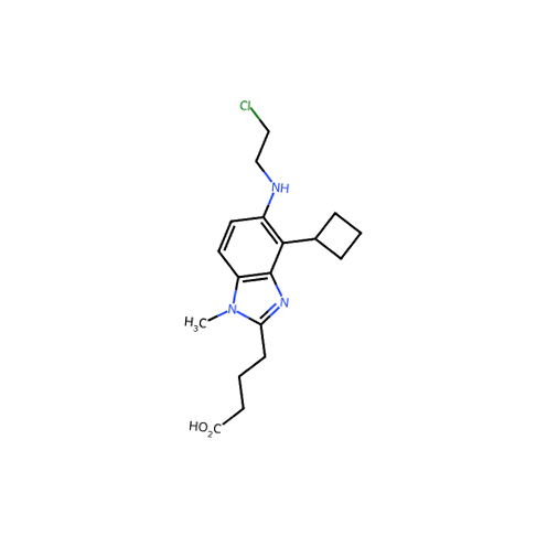 Cn1c(CCCC(=O)O)nc2c(C3CCC3)c(NCCCl)ccc21